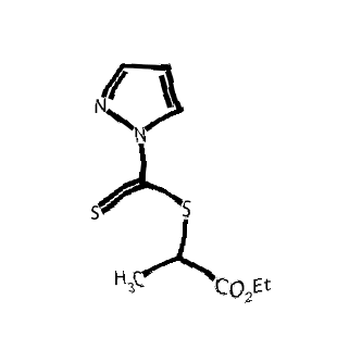 CCOC(=O)C(C)SC(=S)n1cccn1